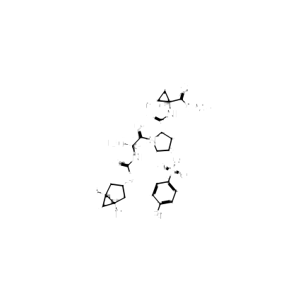 CC[C@@H]1C[C@]1(NC(=O)[C@@H]1C[C@H](OS(=O)(=O)c2ccc(Br)cc2)CN1C(=O)[C@@H](NC(=O)O[C@H]1C[C@@H]2C[C@@H]2C1)C(C)(C)C)C(=O)OC